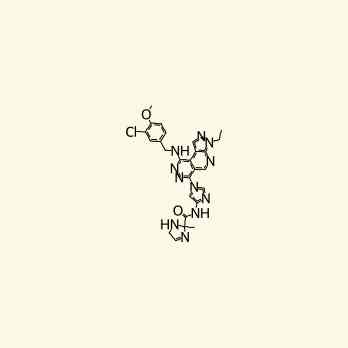 CCn1ncc2c3c(NCc4ccc(OC)c(Cl)c4)nnc(-n4cnc(NC(=O)C5(C)N=CCN5)c4)c3cnc21